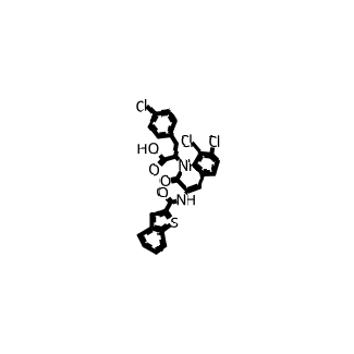 O=C(NC(Cc1ccc(Cl)cc1)C(=O)O)C(=Cc1ccc(Cl)c(Cl)c1)NC(=O)c1cc2ccccc2s1